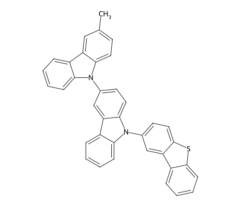 Cc1ccc2c(c1)c1ccccc1n2-c1ccc2c(c1)c1ccccc1n2-c1ccc2sc3ccccc3c2c1